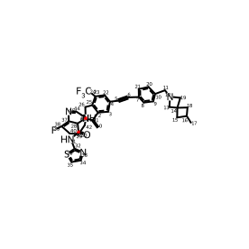 C=C1c2cc(C#Cc3ccc(CN4CC5(CC(C)C5)C4)cc3)cc(C(F)(F)F)c2CN1C(C(=O)Nc1nccs1)C1=C(/F)CCCN/C=N\1